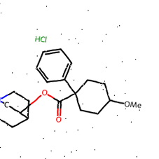 COC1CCC(C(=O)OC2CN3CCC2CC3)(c2ccccc2)CC1.Cl